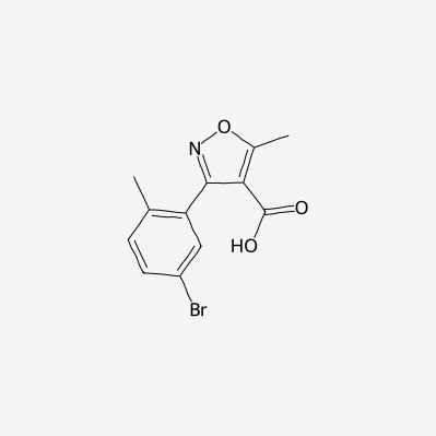 Cc1ccc(Br)cc1-c1noc(C)c1C(=O)O